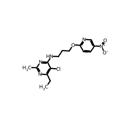 CCc1nc(C)nc(NCCCOc2ccc([N+](=O)[O-])cn2)c1Cl